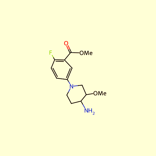 COC(=O)c1cc(N2CCC(N)C(OC)C2)ccc1F